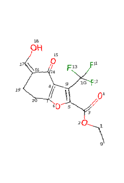 CCOC(=O)c1oc2c(c1C(F)(F)F)C(=O)/C(=C\O)CC2